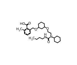 CCCCNC(=O)N(CCOC1CCCC(OCc2cccc(C)c2C(=O)O)C1)C1CCCCC1